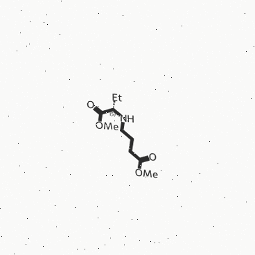 CC[C@H](NCCCC(=O)OC)C(=O)OC